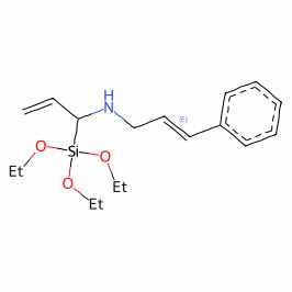 C=CC(NC/C=C/c1ccccc1)[Si](OCC)(OCC)OCC